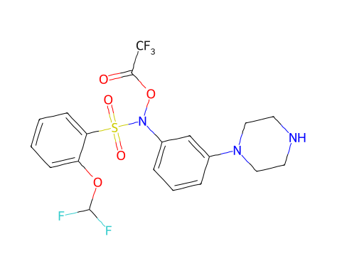 O=C(ON(c1cccc(N2CCNCC2)c1)S(=O)(=O)c1ccccc1OC(F)F)C(F)(F)F